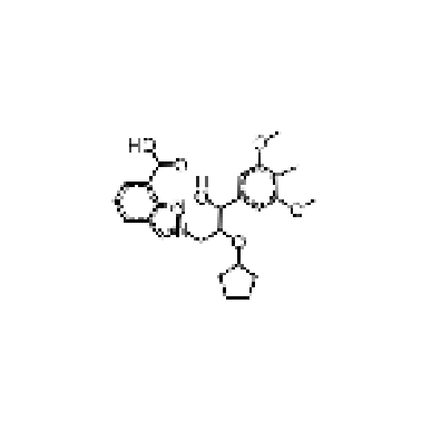 COc1cc(C(O)C(Cn2cc3cccc(C(=O)O)c3n2)OC2CCCC2)cc(OC)c1C